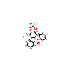 COc1cc(P(=O)(c2ccccc2)c2ccccc2)cc2c1OC(F)(F)O2